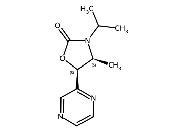 CC(C)N1C(=O)O[C@H](c2cnccn2)[C@@H]1C